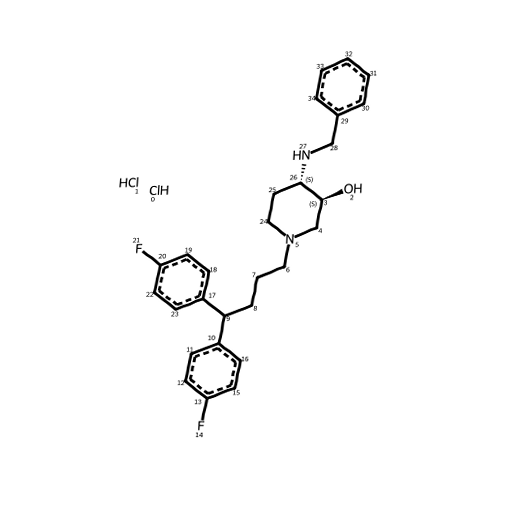 Cl.Cl.O[C@H]1CN(CCCC(c2ccc(F)cc2)c2ccc(F)cc2)CC[C@@H]1NCc1ccccc1